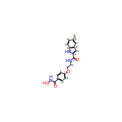 O=C(NO)c1ccc(OCCNC(=O)c2cc3cc(F)ccc3[nH]2)cc1